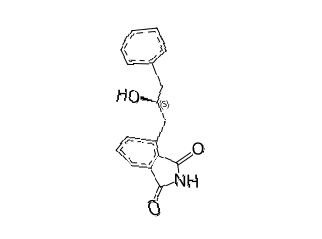 O=C1NC(=O)c2c(C[C@@H](O)Cc3ccccc3)cccc21